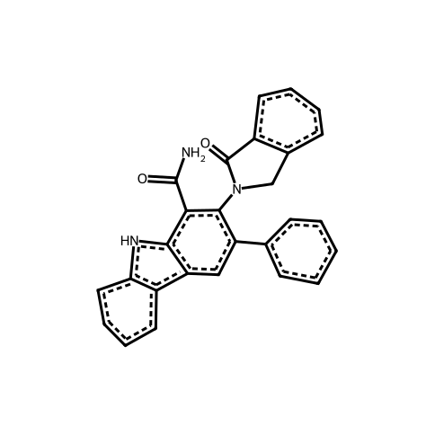 NC(=O)c1c(N2Cc3ccccc3C2=O)c(-c2ccccc2)cc2c1[nH]c1ccccc12